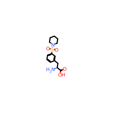 N[C@@H](Cc1cccc(S(=O)(=O)N2CCCCC2)c1)C(=O)O